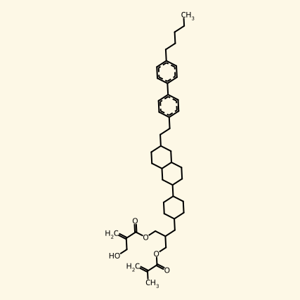 C=C(C)C(=O)OCC(COC(=O)C(=C)CO)CC1CCC(C2CCC3CC(CCc4ccc(-c5ccc(CCCCC)cc5)cc4)CCC3C2)CC1